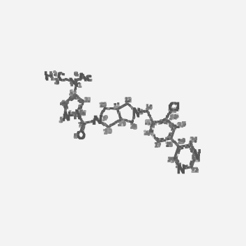 CC(=O)N(C)c1cnn(C(=O)N2CC3CN(Cc4ccc(-c5cncnc5)cc4Cl)CC3C2)c1